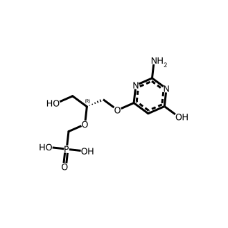 Nc1nc(O)cc(OC[C@@H](CO)OCP(=O)(O)O)n1